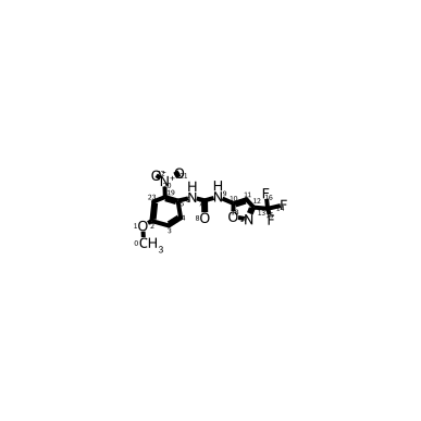 COc1ccc(NC(=O)Nc2cc(C(F)(F)F)no2)c([N+](=O)[O-])c1